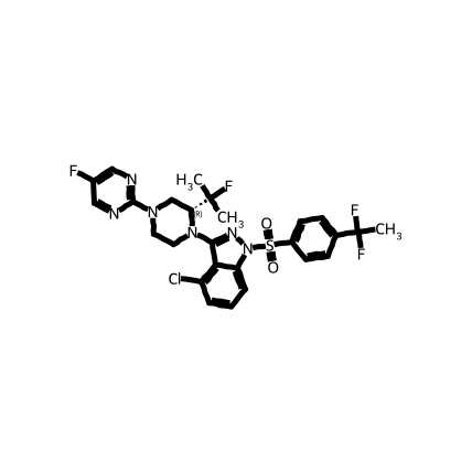 CC(F)(F)c1ccc(S(=O)(=O)n2nc(N3CCN(c4ncc(F)cn4)C[C@@H]3C(C)(C)F)c3c(Cl)cccc32)cc1